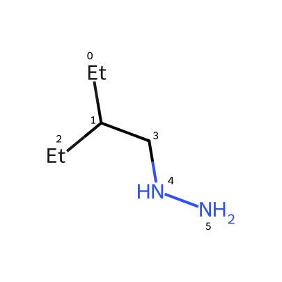 CCC(CC)CNN